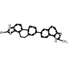 Cc1nc2ccc3cc(-c4ccc5c(c4)CCc4c-5ccc5[nH]c(C(C)C)nc45)ccc3c2[nH]1